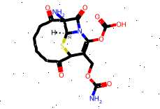 NC(=O)OCC1=C(OC(=O)O)N2C(=O)C3(N)C(=O)CCCCC(=O)C1S[C@H]23